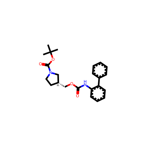 CC(C)(C)OC(=O)N1CC[C@@H](COC(=O)Nc2ccccc2-c2ccccc2)C1